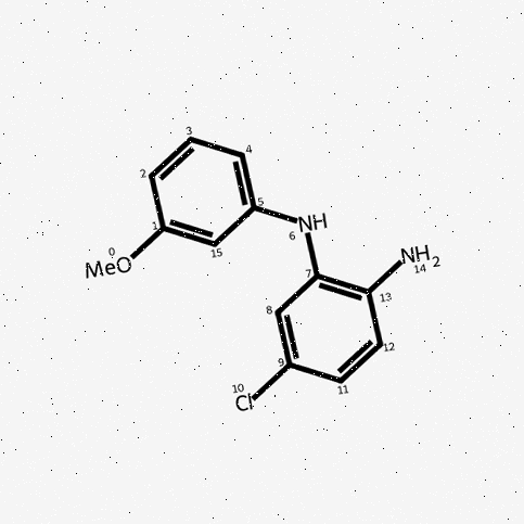 COc1cccc(Nc2cc(Cl)ccc2N)c1